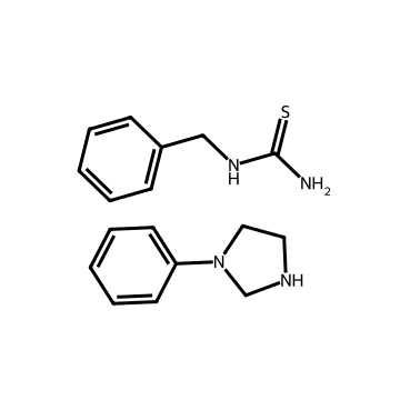 NC(=S)NCc1ccccc1.c1ccc(N2CCNC2)cc1